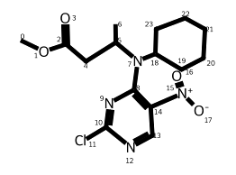 COC(=O)CC(C)N(c1nc(Cl)ncc1[N+](=O)[O-])C1CCCCC1